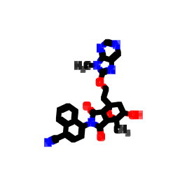 Cn1c(OCCC23CC(O)C(C)(O2)C2C(=O)N(c4ccc(C#N)c5ccccc45)C(=O)C23)nc2cncnc21